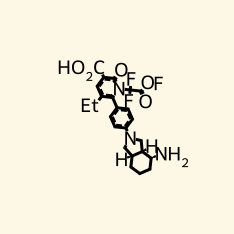 CCc1cc(C(=O)O)c(=O)n(C(F)(F)C(=O)OF)c1-c1ccc(N2C[C@H]3CCC[C@H](N)[C@H]3C2)cc1